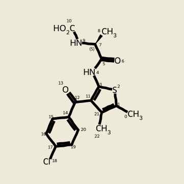 Cc1sc(NC(=O)[C@H](C)NC(=O)O)c(C(=O)c2ccc(Cl)cc2)c1C